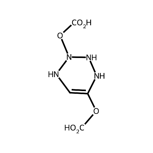 O=C(O)Oc1c[nH]n(OC(=O)O)[nH][nH]1